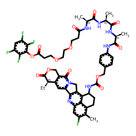 CC[C@H]1C(=O)OCc2c1cc1n(c2=O)Cc2c-1nc1cc(F)c(C)c3c1c2C(NC(=O)OCc1ccc(NC(=O)[C@H](C)NC(=O)[C@H](C)NC(=O)[C@H](C)NC(=O)CCOCCOCCC(=O)Oc2c(F)c(F)cc(F)c2F)cc1)CC3